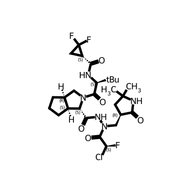 CC1(C)C[C@H](CN(NC(=O)[C@@H]2[C@H]3CCC[C@H]3CN2C(=O)[C@@H](NC(=O)[C@@H]2CC2(F)F)C(C)(C)C)C(=O)[C@@H](F)Cl)C(=O)N1